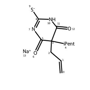 C=CCC1(C(C)CCC)C(=O)N=C([S-])NC1=O.[Na+]